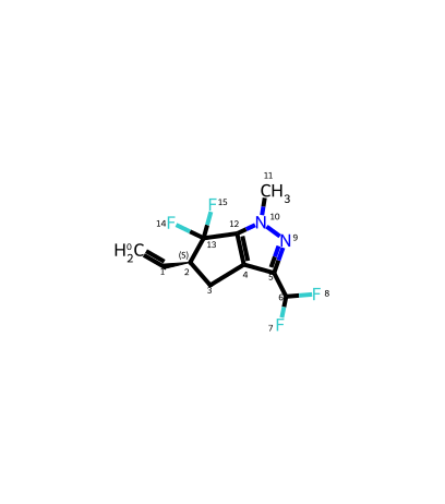 C=C[C@@H]1Cc2c(C(F)F)nn(C)c2C1(F)F